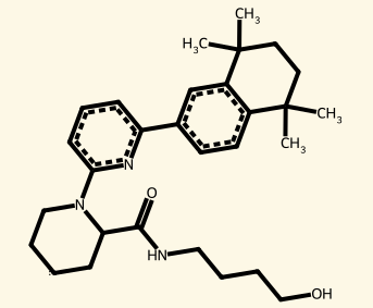 CC1(C)CCC(C)(C)c2cc(-c3cccc(N4CC[C]CC4C(=O)NCCCCO)n3)ccc21